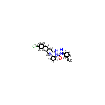 CC(=O)c1cccc(NC(=O)N[C@@H]2CCC[C@H]2N2CCC(Cc3ccc(Cl)cc3)CC2)c1